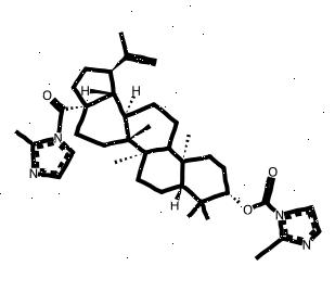 C=C(C)[C@@H]1CC[C@]2(C(=O)n3ccnc3C)CC[C@]3(C)[C@H](CCC4[C@@]5(C)CC[C@H](OC(=O)n6ccnc6C)C(C)(C)[C@@H]5CC[C@]43C)[C@@H]12